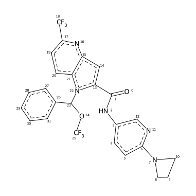 O=C(Nc1ccc(N2CCC2)nc1)c1cc2nc(C(F)(F)F)ccc2n1C(OC(F)(F)F)c1ccccc1